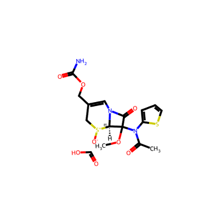 COC1(N(C(C)=O)c2cccs2)C(=O)N2C=C(COC(N)=O)C[S+]([O-])[C@@H]21.O=CO